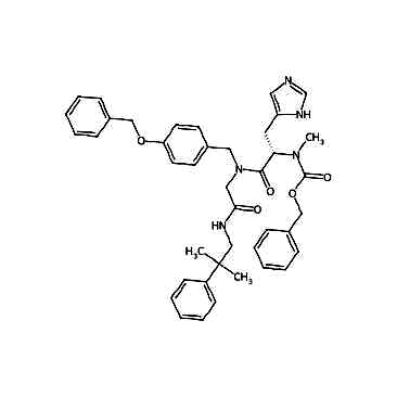 CN(C(=O)OCc1ccccc1)[C@@H](Cc1cnc[nH]1)C(=O)N(CC(=O)NCC(C)(C)c1ccccc1)Cc1ccc(OCc2ccccc2)cc1